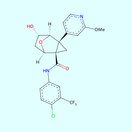 COc1cc([C@@]23C[C@]2(C(=O)Nc2ccc(Cl)c(C(F)(F)F)c2)[C@H]2C[C@H](O)[C@@H]3O2)ccn1